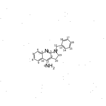 Nc1c2c(nc3ccccc13)N(Cc1ccccc1)CC2